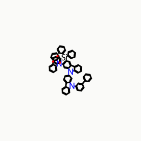 c1ccc(-c2cccc(-n3c4ccccc4c4ccc(-n5c6ccccc6c6cc([Si](c7ccccc7)(c7ccccc7)c7ccccc7)c(-n7c8ccccc8c8ccccc87)cc65)cc43)c2)cc1